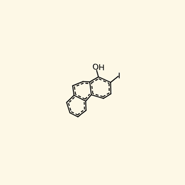 Oc1c(I)ccc2c1ccc1ccccc12